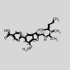 C=C/C=C(/N)N(C)C(C)NCc1cc2cc(-c3ncc(C(=O)O)cn3)cc(OC)c2o1